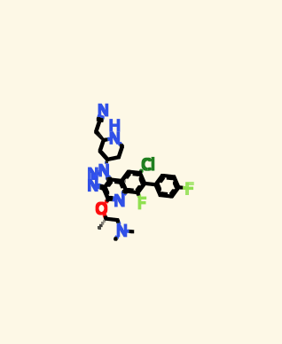 C[C@@H](CN(C)C)Oc1nc2c(F)c(-c3ccc(F)cc3)c(Cl)cc2c2c1nnn2[C@H]1CCN[C@H](CC#N)C1